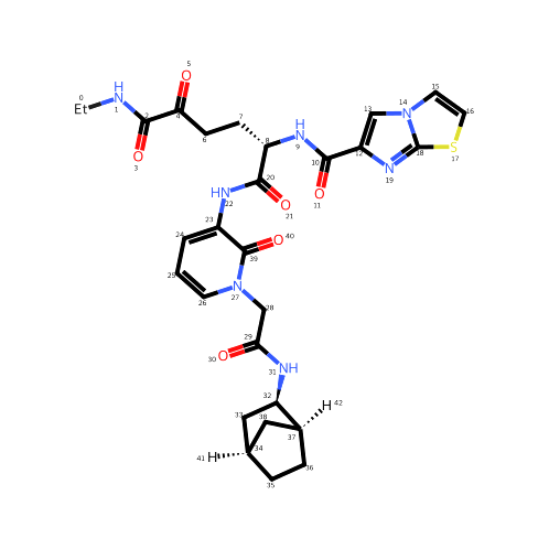 CCNC(=O)C(=O)CC[C@H](NC(=O)c1cn2ccsc2n1)C(=O)Nc1cccn(CC(=O)N[C@@H]2C[C@@H]3CC[C@H]2C3)c1=O